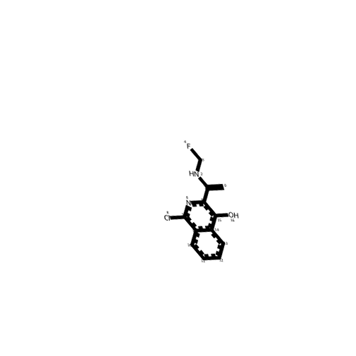 C=C(NCF)c1nc(Cl)c2ccccc2c1O